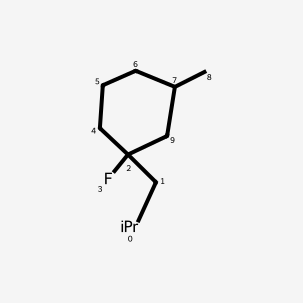 CC(C)CC1(F)CCCC(C)C1